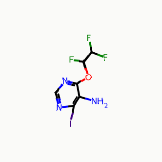 Nc1c(I)ncnc1OC(F)C(F)F